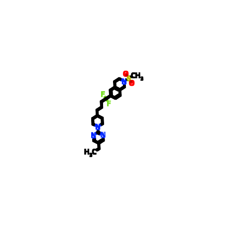 CCc1cnc(N2CCC(CCCC(F)(F)c3ccc4c(c3)CCN(S(C)(=O)=O)C4)CC2)nc1